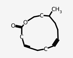 CC1CCC#CCC/C=C\CC(=O)OCC1